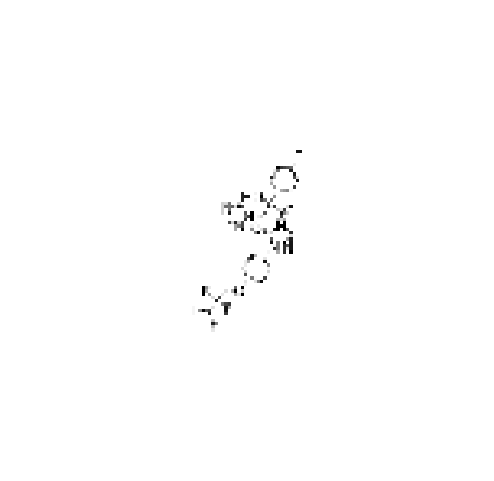 C[C@@H](n1cnn(-c2ccc(OCC(F)(F)C(F)F)cc2)c1=O)[C@](O)(Cn1cncn1)c1ccc(F)cc1